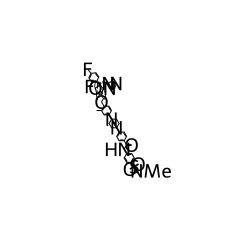 CNS(=O)(=O)c1ccc(NC(=O)c2ccc(N3CCN(c4ccc(OC[C@@H]5CO[C@@](Cn6cncn6)(c6ccc(F)cc6F)C5)c(C)c4)CC3)cc2)cc1